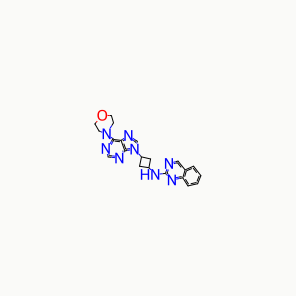 c1ccc2nc(NC3CC(n4cnc5c(N6CCOCC6)ncnc54)C3)ncc2c1